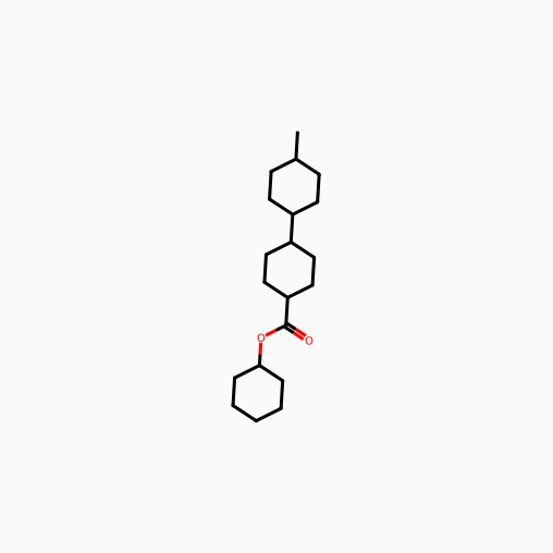 CC1CCC(C2CCC(C(=O)OC3CCCCC3)CC2)CC1